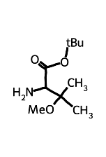 COC(C)(C)C(N)C(=O)OC(C)(C)C